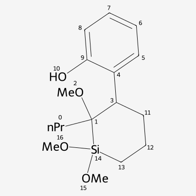 CCCC1(OC)C(c2ccccc2O)CCC[Si]1(OC)OC